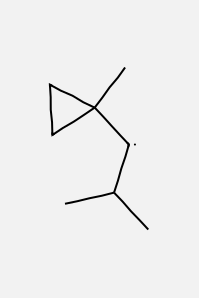 CC(C)[CH]C1(C)CC1